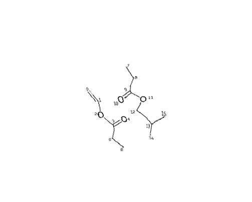 C=COC(=O)CC.CCC(=O)OCC(C)C